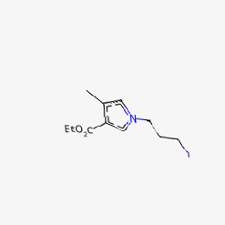 CCOC(=O)c1cn(CCCI)cc1C